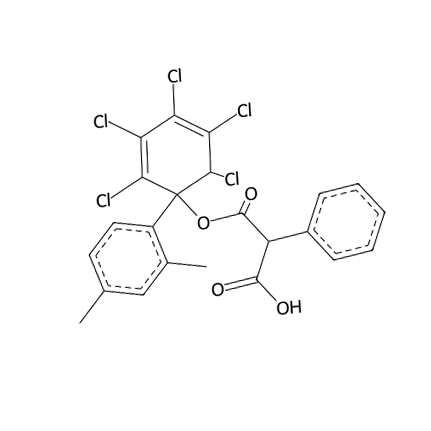 Cc1ccc(C2(OC(=O)C(C(=O)O)c3ccccc3)C(Cl)=C(Cl)C(Cl)=C(Cl)C2Cl)c(C)c1